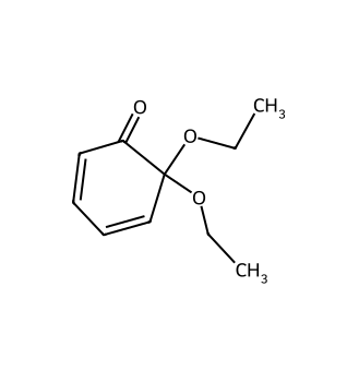 CCOC1(OCC)C=CC=CC1=O